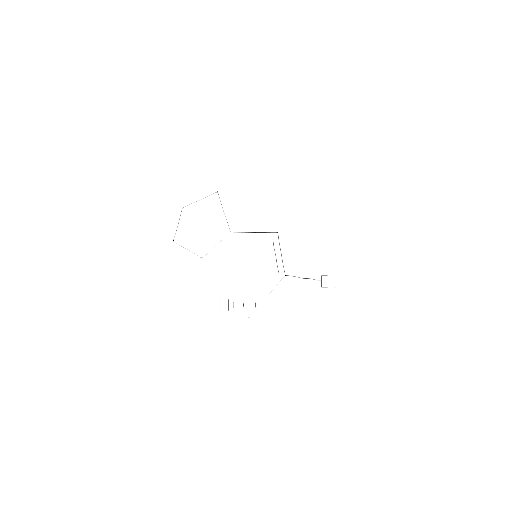 CCC(=CC1CCCC1)C(=O)O